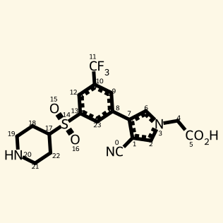 N#Cc1cn(CC(=O)O)cc1-c1cc(C(F)(F)F)cc(S(=O)(=O)C2CCNCC2)c1